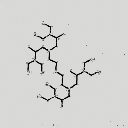 CC(CN(CCOCCN(CC(C)N(CO)CO)CC(C)N(CO)CO)CC(C)N(CO)CO)N(CO)CO